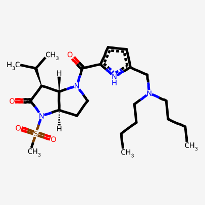 CCCCN(CCCC)Cc1ccc(C(=O)N2CC[C@@H]3[C@@H]2[C@H](C(C)C)C(=O)N3S(C)(=O)=O)[nH]1